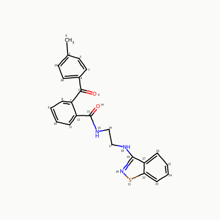 Cc1ccc(C(=O)c2ccccc2C(=O)NCCNc2nsc3ccccc23)cc1